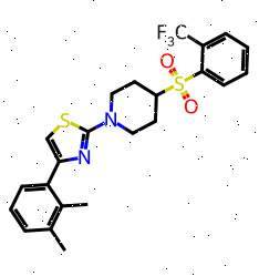 Cc1cccc(-c2csc(N3CCC(S(=O)(=O)c4ccccc4C(F)(F)F)CC3)n2)c1C